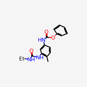 CCNC(=O)Nc1cc(NC(=O)Oc2ccccc2)ccc1C